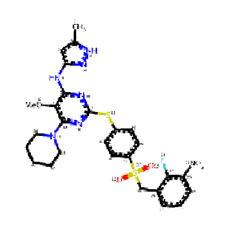 COc1c(Nc2cc(C)[nH]n2)nc(Sc2ccc(S(=O)(=O)Cc3cccc([N+](=O)[O-])c3F)cc2)nc1N1CCCCC1